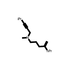 C=C(CCC)CCCN(C)CC#CC(C)C